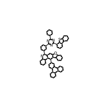 c1ccc(-c2nc(-c3cccc(-c4nc5ccccc5c5c(-c6ccc7c8ccccc8c8ccccc8c7c6)c6c(cc45)oc4ccccc46)c3)nc(-c3cccc4c3sc3ccccc34)n2)cc1